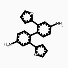 Nc1ccc(-c2ccc(N)cc2-c2ccco2)c(-c2ccco2)c1